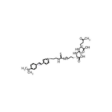 CC(=O)CC[C@H](NC(=O)N[C@@H](CCCCNC(=S)NCCC[n+]1ccc(/C=C/c2ccc(N(C)C)cc2)cc1)C(=O)O)C(=O)O